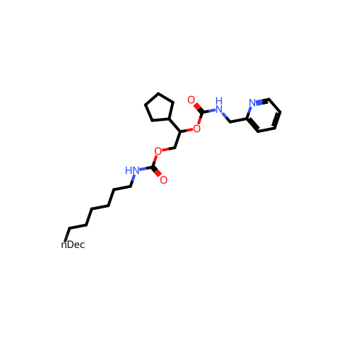 CCCCCCCCCCCCCCCCNC(=O)OCC(OC(=O)NCc1ccccn1)C1CCCC1